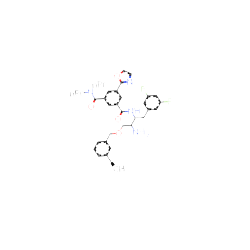 C#Cc1cccc(COCC(N)[C@H](Cc2cc(F)cc(F)c2)NC(=O)c2cc(C(=O)N(CCC)CCC)cc(-c3ncco3)c2)c1